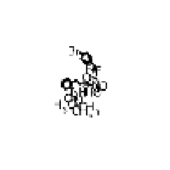 CC(C)(C)OC(=O)Nc1ccccc1CC[C@@H]1CN(C(=O)O)C[C@@H](C(F)(F)Cc2ccc(Br)cc2)O1